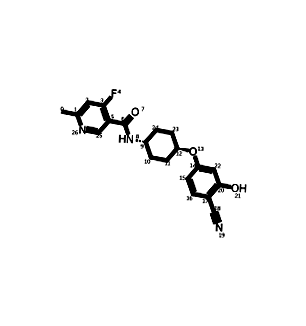 Cc1cc(F)c(C(=O)N[C@H]2CC[C@H](Oc3ccc(C#N)c(O)c3)CC2)cn1